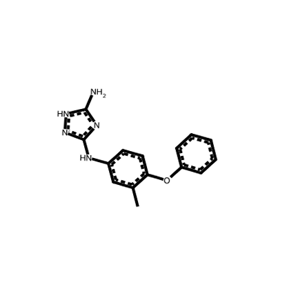 Cc1cc(Nc2n[nH]c(N)n2)ccc1Oc1ccccc1